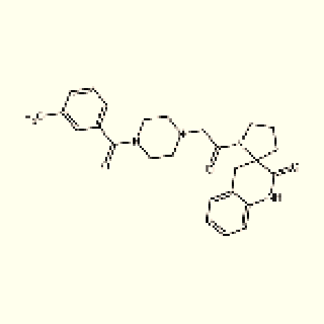 Cc1cccc(C(=O)N2CCN(CC(=O)N3CCCC34Cc3ccccc3NC4=O)CC2)c1